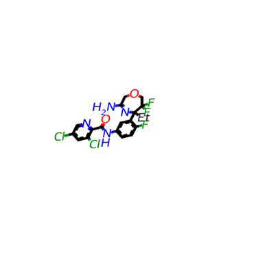 CCC1(c2cc(NC(=O)c3ncc(Cl)cc3Cl)ccc2F)N=C(N)COCC1(F)F